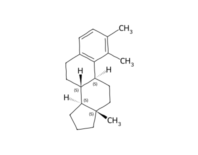 Cc1ccc2c(c1C)[C@H]1CC[C@]3(C)CCC[C@H]3[C@@H]1CC2